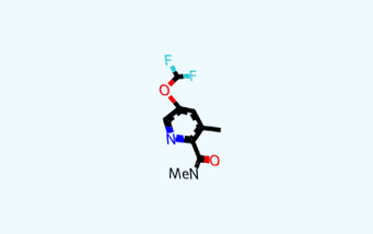 CNC(=O)c1ncc(OC(F)F)cc1C